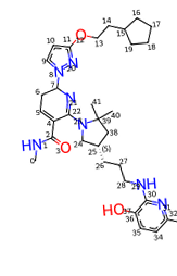 CNC(=O)C1=CCC(n2ccc(OCCC3CCCC3)n2)N=C1N1C[C@@H](CCCNc2nc(C)ccc2O)CC1(C)C